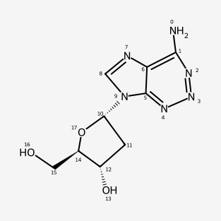 Nc1nnnc2c1ncn2[C@@H]1C[C@H](O)[C@@H](CO)O1